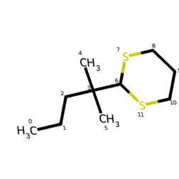 CCCC(C)(C)C1SCCCS1